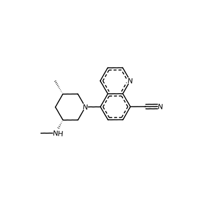 CN[C@@H]1C[C@H](C)CN(c2ccc(C#N)c3ncccc23)C1